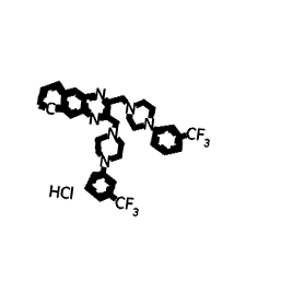 Cl.FC(F)(F)c1cccc(N2CCN(Cc3nc4cc5ccccc5cc4nc3CN3CCN(c4cccc(C(F)(F)F)c4)CC3)CC2)c1